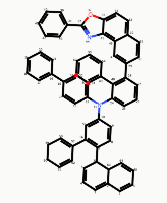 C1=CC2=CC=CC(c3ccc(N(c4ccc(-c5ccccc5)cc4)c4cccc(-c5ccc6ccc7oc(-c8ccccc8)nc7c6c5)c4-c4ccccc4)cc3C3=CCCC=C3)C2C=C1